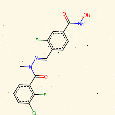 CN(N=Cc1ccc(C(=O)NO)cc1F)C(=O)c1cccc(Cl)c1F